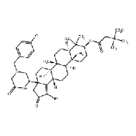 CC(C)C1=C2[C@H]3CC[C@@H]4[C@@]5(C)CC[C@H](OC(=O)CC(C)(C)C(=O)O)C(C)(C)[C@@H]5CC[C@@]4(C)[C@]3(C)CCC2([C@@H]2CN(Cc3ccc(Cl)cc3)CC(=O)N2)CC1=O